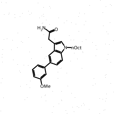 CCCCCCCCn1cc(CC(N)=O)c2cc(-c3cccc(OC)c3)ccc21